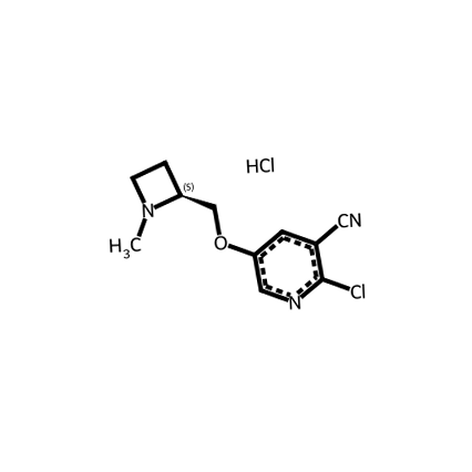 CN1CC[C@H]1COc1cnc(Cl)c(C#N)c1.Cl